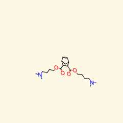 CN(C)CCCCOC(=O)C1C2C=CC(C2)C1C(=O)OCCCCN(C)C